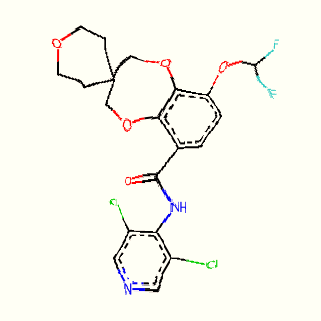 O=C(Nc1c(Cl)cncc1Cl)c1ccc(OC(F)F)c2c1OCC1(CCOCC1)CO2